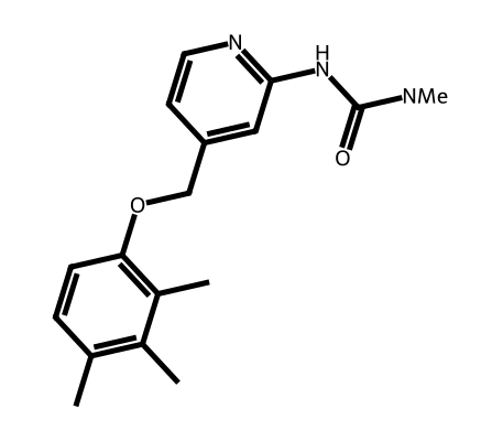 CNC(=O)Nc1cc(COc2ccc(C)c(C)c2C)ccn1